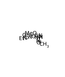 CCn1ccc2nc(COc3nn4c(-c5cc(C)on5)nnc4cc3OC)ccc2c1=O